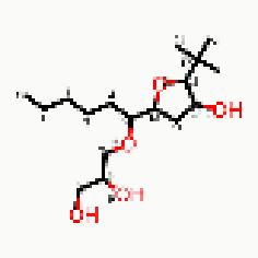 CCCCCC(OCC(O)CO)C1CC(O)C(C(C)(C)C)O1